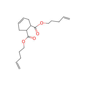 C=CCCCOC(=O)C1CC=CCC1C(=O)OCCCC=C